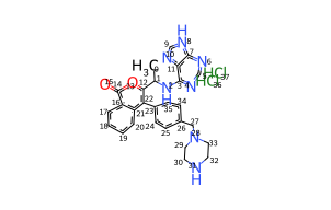 CC(Nc1ncnc2[nH]cnc12)c1oc(=O)c2ccccc2c1-c1ccc(CN2CCNCC2)cc1.Cl.Cl